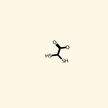 [O]C(=O)C(S)S